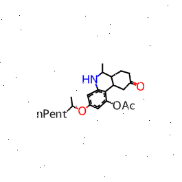 CCCCCC(C)Oc1cc2c(c(OC(C)=O)c1)C1CC(=O)CCC1C(C)N2